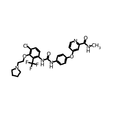 CNC(=O)c1cc(Oc2ccc(NC(=O)Nc3ccc(Cl)c(OCCN4CCCC4)c3C(F)(F)F)cc2)ccn1